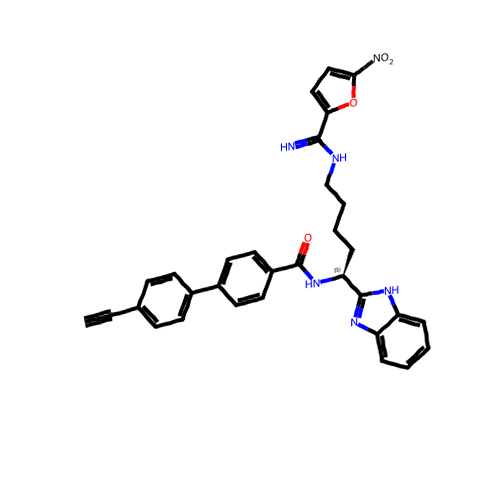 C#Cc1ccc(-c2ccc(C(=O)N[C@@H](CCCCNC(=N)c3ccc([N+](=O)[O-])o3)c3nc4ccccc4[nH]3)cc2)cc1